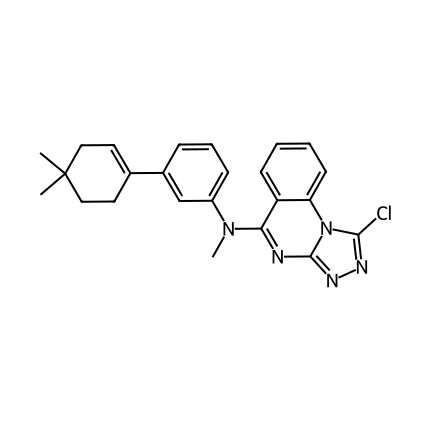 CN(c1cccc(C2=CCC(C)(C)CC2)c1)c1nc2nnc(Cl)n2c2ccccc12